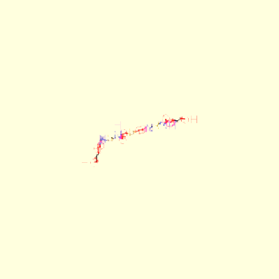 O=C(NCSC/N=C/OOCSCOC(=O)NCSC/N=C\OOCCCO)OCCCO